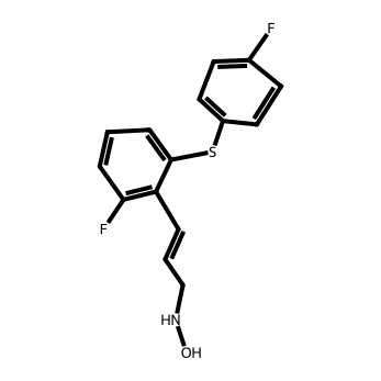 ONCC=Cc1c(F)cccc1Sc1ccc(F)cc1